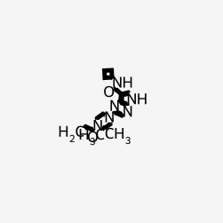 C=CC(=O)N1CCN(c2cnc3[nH]cc(C(=O)NC4CCC4)c3n2)CC1(C)C